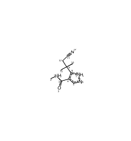 CNC(=O)c1cn[nH]c1C(C)(C)CC#N